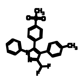 Cc1ccc(-c2c(C(F)F)nn(-c3ccccc3)c2-c2ccc(S(C)(=O)=O)cc2)cc1